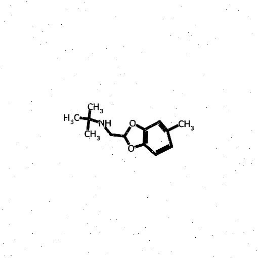 Cc1ccc2c(c1)OC(CNC(C)(C)C)O2